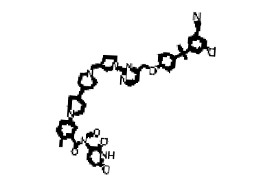 Cc1ccc(N2CCC(C3CCN(CC4CCN(c5nccc(COc6ccc(C(C)(C)c7cc(Cl)cc(C#N)c7)cc6)n5)C4)CC3)CC2)cc1C(=O)N(C=O)C1CCC(=O)NC1=O